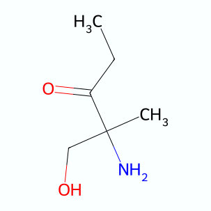 CCC(=O)C(C)(N)CO